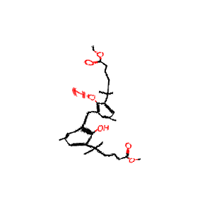 COC(=O)CCCC(C)(C)c1cc(C)cc(Cc2cc(C)cc(C(C)(C)CCCC(=O)OC)c2O)c1O